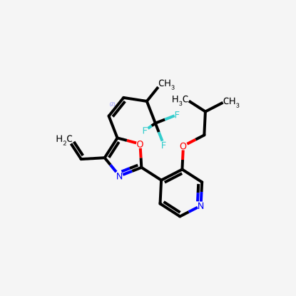 C=Cc1nc(-c2ccncc2OCC(C)C)oc1/C=C\C(C)C(F)(F)F